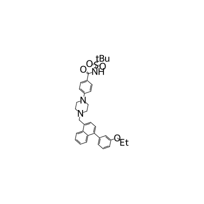 CCOc1cccc(-c2ccc(CN3CCN(c4ccc(C(=O)NS(=O)(=O)C(C)(C)C)cc4)CC3)c3ccccc23)c1